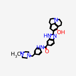 CN1CCN(Cc2ccc(NC(=O)c3ccc4nc(-c5cc6c7c(c5O)CCCN7CCC6)[nH]c4c3)cc2)CC1